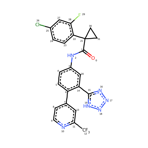 O=C(Nc1ccc(-c2ccnc(C(F)(F)F)c2)c(-c2nnn[nH]2)c1)C1(c2ccc(Cl)cc2F)CC1